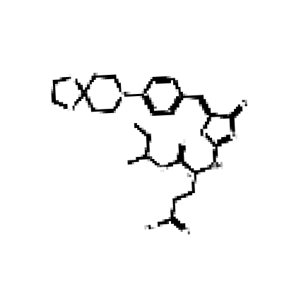 CCC(C)OC(=O)[C@H](CCC(=O)O)NC1=NC(=O)C(=Cc2ccc(N3CCC4(CC3)OCCO4)cc2)S1